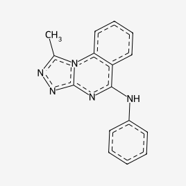 Cc1nnc2nc(Nc3ccccc3)c3ccccc3n12